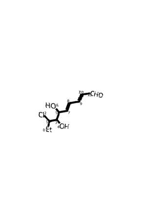 CCC(Cl)C(O)C(O)C=CC=CC=O